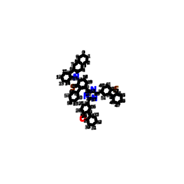 c1ccc2cc3c(cc2c1)c1ccccc1n3-c1ccc(-c2nc(-c3ccc4oc5ccccc5c4c3)nc(-c3ccc4sc5ccccc5c4c3)n2)c2c1sc1ccccc12